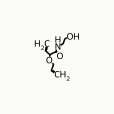 C=CCOC(C=C)C(=O)NCCO